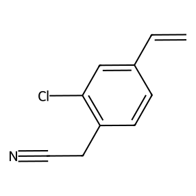 C=Cc1ccc(CC#N)c(Cl)c1